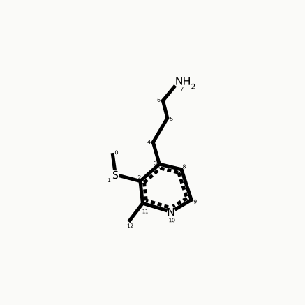 CSc1c(CCCN)ccnc1C